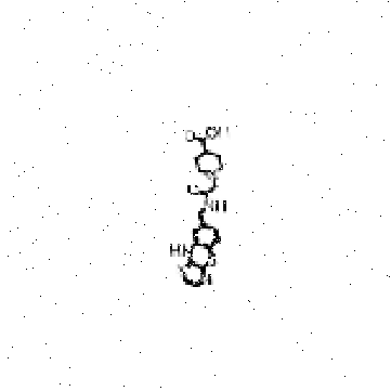 O=C(CN1CCC(C(=O)O)CC1)NCc1ccc2c(c1)Nc1nccnc1S2